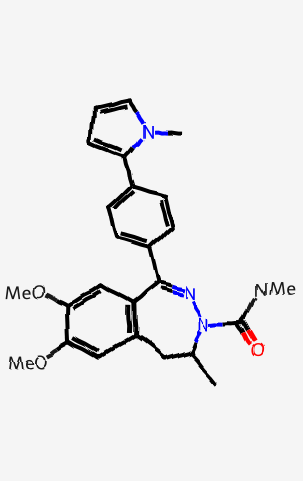 CNC(=O)N1N=C(c2ccc(-c3cccn3C)cc2)c2cc(OC)c(OC)cc2CC1C